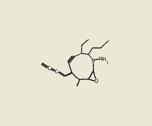 C=C=C=CC1C#CC(CC)C(CCC)N(N)C2OC2C1C